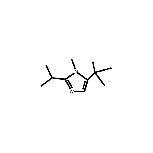 CC(C)c1ncc(C(C)(C)C)n1C